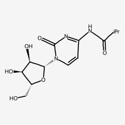 CC(C)C(=O)Nc1ccn([C@@H]2O[C@H](CO)[C@@H](O)[C@H]2O)c(=O)n1